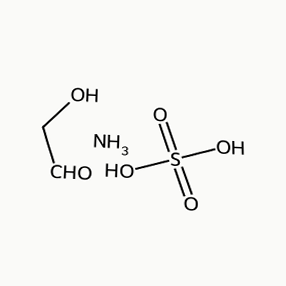 N.O=CCO.O=S(=O)(O)O